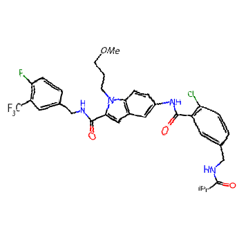 COCCCn1c(C(=O)NCc2ccc(F)c(C(F)(F)F)c2)cc2cc(NC(=O)c3cc(CNC(=O)C(C)C)ccc3Cl)ccc21